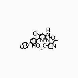 CC(Oc1nc2nc(-c3ccc(N4CCOCC4)cc3)c(Cl)cc2[nH]1)c1cc(C(=O)O)ccn1